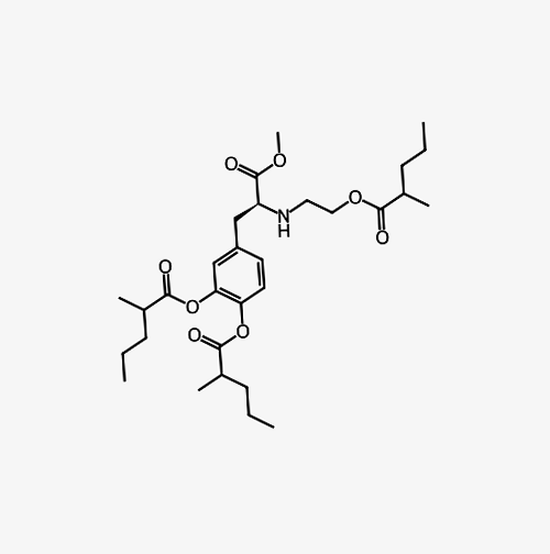 CCCC(C)C(=O)OCCN[C@@H](Cc1ccc(OC(=O)C(C)CCC)c(OC(=O)C(C)CCC)c1)C(=O)OC